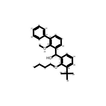 CCCCOc1c(C(O)c2cccc(-c3ccccc3)c2OC)cccc1C(C)(C)C